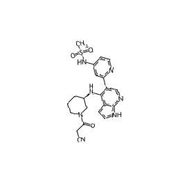 CS(=O)(=O)Nc1ccnc(-c2cnc3[nH]ccc3c2N[C@@H]2CCCN(C(=O)CC#N)C2)c1